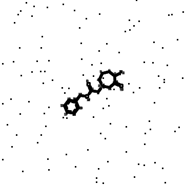 O=C(CN1CCCC(F)C(=O)C1)OCc1ccccc1